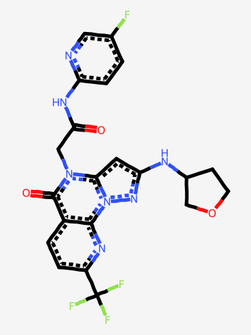 O=C(Cn1c(=O)c2ccc(C(F)(F)F)nc2n2nc(NC3CCOC3)cc12)Nc1ccc(F)cn1